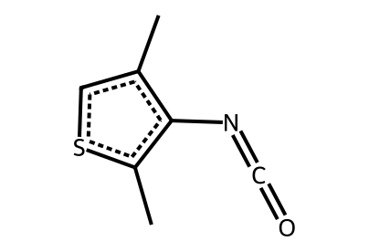 Cc1csc(C)c1N=C=O